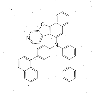 c1ccc(-c2cccc(N(c3ccc(-c4cccc5ccccc45)cc3)c3cc4ccccc4c4oc5cnccc5c34)c2)cc1